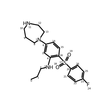 CCCNc1cc(N2CCCNCC2)ccc1S(=O)(=O)c1ccc(F)cc1